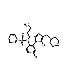 CCCCN(c1ccc(Cl)cc1-n1nnc(CN2CCOCC2)c1C)S(=O)(=O)c1ccccc1